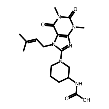 CC(C)=CCn1c(N2CCCC(NC(=O)O)C2)nc2c1c(=O)n(C)c(=O)n2C